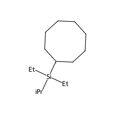 CC[Si](CC)([C]1CCCCCCC1)C(C)C